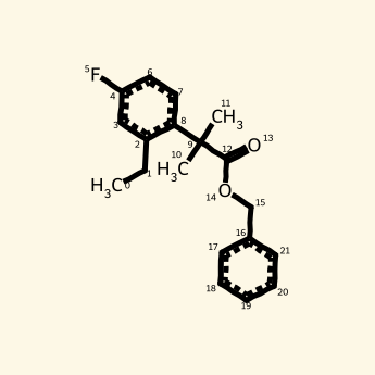 CCc1cc(F)ccc1C(C)(C)C(=O)OCc1ccccc1